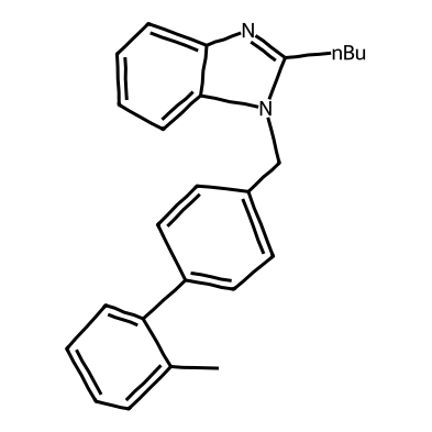 CCCCc1nc2ccccc2n1Cc1ccc(-c2ccccc2C)cc1